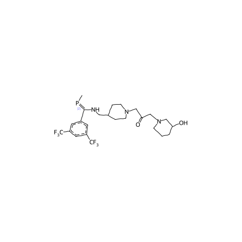 C/P=C(\NCC1CCN(CC(=O)CN2CCCC(O)C2)CC1)c1cc(C(F)(F)F)cc(C(F)(F)F)c1